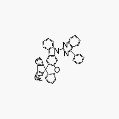 c1ccc(-c2nc(-n3c4ccccc4c4cc5c(cc43)Oc3ccccc3C53c4ccccc4-c4ccccc43)nc3ccccc23)cc1